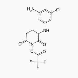 Nc1cc(Cl)cc(NC2CCC(=O)N(OC(=O)C(F)(F)F)C2=O)c1